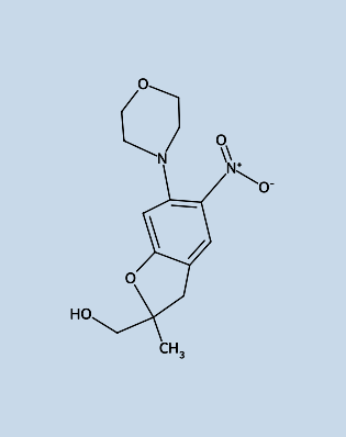 CC1(CO)Cc2cc([N+](=O)[O-])c(N3CCOCC3)cc2O1